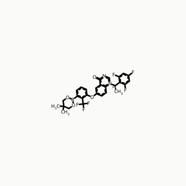 C[C@H](c1c(F)cc(F)cc1F)n1cnc(=O)c2cc(Oc3cccc(B4OCC(C)(C)CO4)c3C(F)(F)F)ccc21